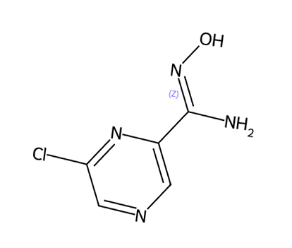 N/C(=N\O)c1cncc(Cl)n1